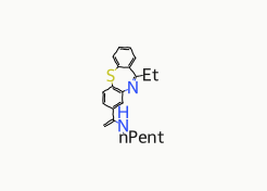 C=C(NCCCCC)c1ccc2c(c1)N=C(CC)c1ccccc1S2